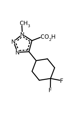 Cn1nnc(C2CCC(F)(F)CC2)c1C(=O)O